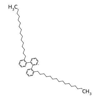 CCCCCCCCCCCCCCCCc1ccccc1-c1[c]cccc1-c1ccccc1CCCCCCCCCCCCCCCC